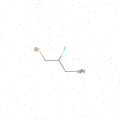 CCCCC(F)CBr